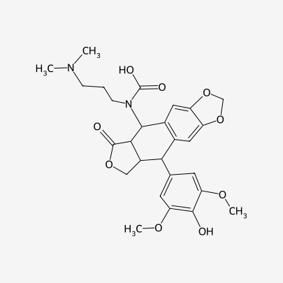 COc1cc(C2c3cc4c(cc3C(N(CCCN(C)C)C(=O)O)C3C(=O)OCC23)OCO4)cc(OC)c1O